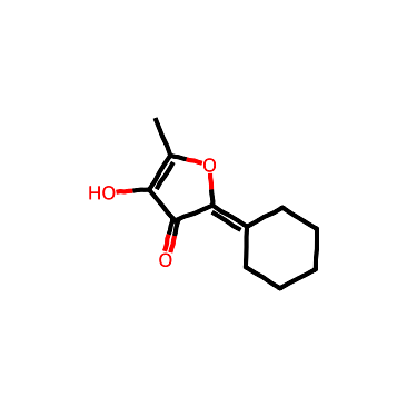 CC1=C(O)C(=O)C(=C2CCCCC2)O1